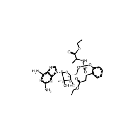 CCOC(=O)CCc1ccccc1O[P@@](=O)(NC(C)C(=O)OCC)OC[C@H]1O[C@@H](n2cnc3c(N)nc(N)nc32)[C@](C)(O)[C@@H]1O